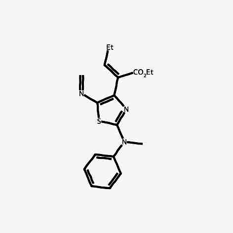 C=Nc1sc(N(C)c2ccccc2)nc1C(=CCC)C(=O)OCC